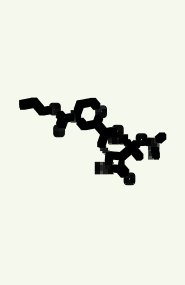 C=CCOC(=O)N1CCOC(C(=O)C[C@H]2NC(=O)[C@@H]2[C@@](C)(O[SiH](C)C)C(C)(C)C)C1